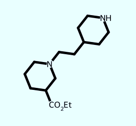 CCOC(=O)C1CCCN(CCC2CCNCC2)C1